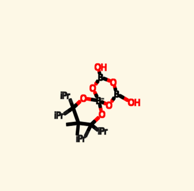 CC(C)C1(C(C)C)O[B-]2(OB(O)OB(O)O2)OC(C(C)C)(C(C)C)C1(C)C